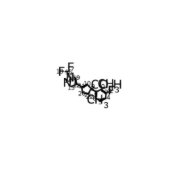 Cc1c(F)cccc1C1(C(=O)O)C=C(c2cnn(C(F)F)c2)CC1C